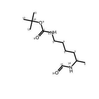 CC(CCCCNC(=O)OC(C)(C)C)NC=O